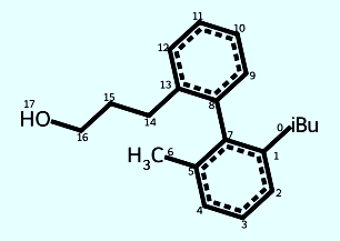 CCC(C)c1cccc(C)c1-c1ccccc1CCCO